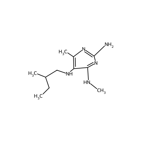 CCC(C)CNc1c(C)nc(N)nc1NC